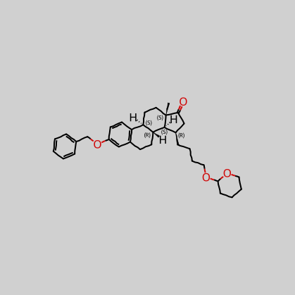 C[C@]12CC[C@@H]3c4ccc(OCc5ccccc5)cc4CC[C@H]3[C@@H]1[C@H](CCCCOC1CCCCO1)CC2=O